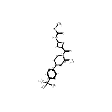 COC(=O)NC1CC(C(=O)N2CCC(c3ccc(C(C)(C)C)cc3)CC2C)C1